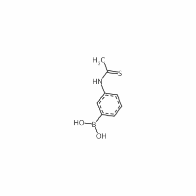 CC(=S)Nc1cccc(B(O)O)c1